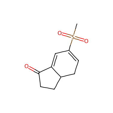 CS(=O)(=O)C1=CCC2CCC(=O)C2=C1